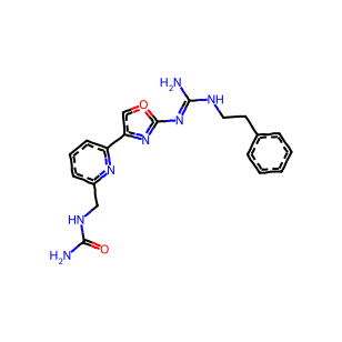 NC(=O)NCc1cccc(-c2coc(/N=C(\N)NCCc3ccccc3)n2)n1